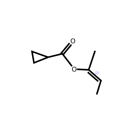 C/C=C(/C)OC(=O)C1CC1